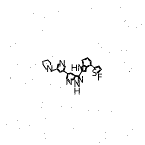 Fc1ccc(-c2cccc3[nH]c(-c4n[nH]c5ncc(-c6cncc(CN7CCCCC7)c6)cc45)cc23)s1